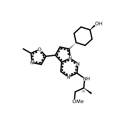 COC[C@H](C)Nc1ncc2c(-c3cnc(C)o3)cc([C@H]3CC[C@H](O)CC3)n2n1